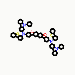 c1ccc(-n2c3ccccc3c3ccc(N(c4ccc5c(c4)oc4cc6cc7oc8cc(N(c9ccc%10c%11ccccc%11n(-c%11ccccc%11)c%10c9)c9cccc%10c9sc9ccccc9%10)ccc8c7cc6cc45)c4cccc5c4sc4ccccc45)cc32)cc1